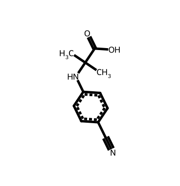 CC(C)(Nc1ccc(C#N)cc1)C(=O)O